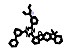 C=C/C=C(\C=C)c1cccc(-c2nc(-c3cccc(-c4ccccc4)c3)nc(-c3cccc4c3oc3cc5c(cc34)-c3ccccc3C5(C)C)n2)c1